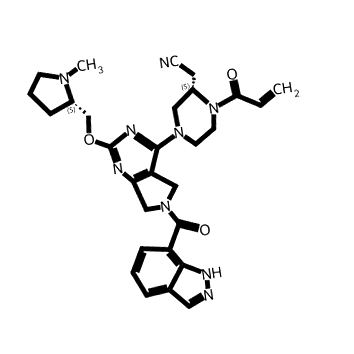 C=CC(=O)N1CCN(c2nc(OC[C@@H]3CCCN3C)nc3c2CN(C(=O)c2cccc4cn[nH]c24)C3)C[C@@H]1CC#N